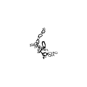 COc1cc(N2CCC(N3CCN(C)CC3)CC2)ccc1Nc1ncc(-c2cc(F)c(O)c(C=O)c2)c(Nc2ccccc2)n1